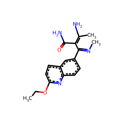 CCOc1ccc2cc(C(=N/C)/C(C(N)=O)=C(\C)N)ccc2n1